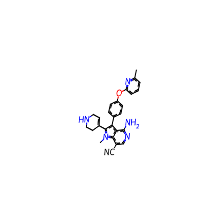 Cc1cccc(Oc2ccc(-c3c(C4=CCNCC4)n(C)c4c(C#N)cnc(N)c34)cc2)n1